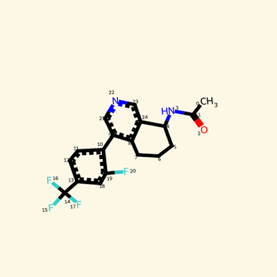 CC(=O)NC1CCCc2c(-c3ccc(C(F)(F)F)cc3F)cncc21